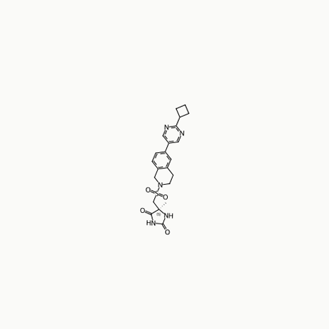 C[C@]1(CS(=O)(=O)N2CCc3cc(-c4cnc(C5CCC5)nc4)ccc3C2)NC(=O)NC1=O